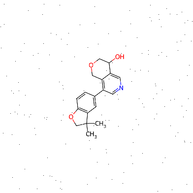 CC1(C)COc2ccc(-c3cncc4c3COCC4O)cc21